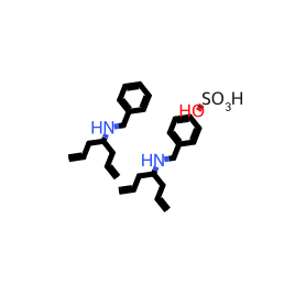 C=CCC(CC=C)NCc1ccccc1.C=CCC(CC=C)NCc1ccccc1.O=S(=O)(O)O